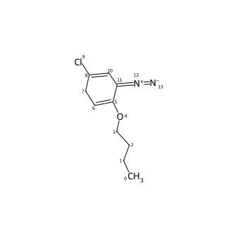 CCCCOC1=CCC(Cl)=CC1=[N+]=[N-]